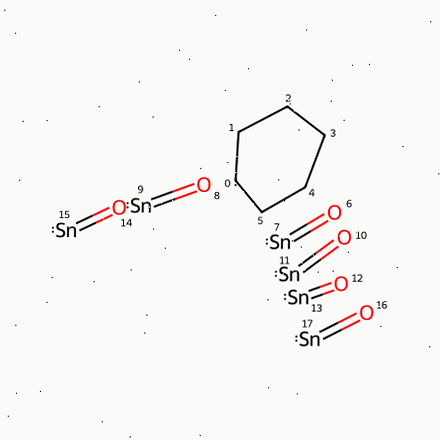 [CH]1CCCCC1.[O]=[Sn].[O]=[Sn].[O]=[Sn].[O]=[Sn].[O]=[Sn].[O]=[Sn]